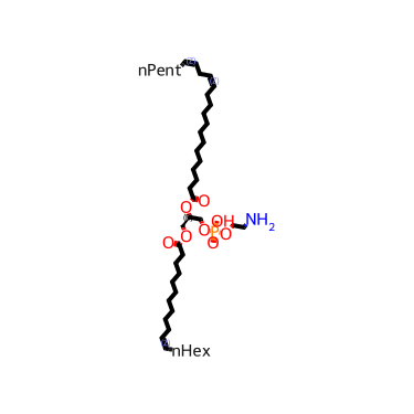 CCCCC/C=C\C/C=C\CCCCCCCCCCCC(=O)O[C@H](COC(=O)CCCCCCCCC/C=C\CCCCCC)COP(=O)(O)OCCN